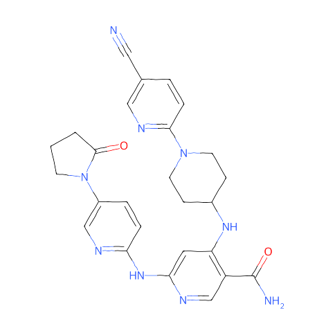 N#Cc1ccc(N2CCC(Nc3cc(Nc4ccc(N5CCCC5=O)cn4)ncc3C(N)=O)CC2)nc1